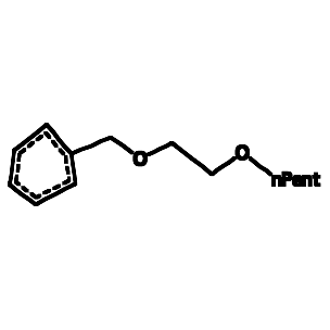 CCCCCOCCOCc1ccccc1